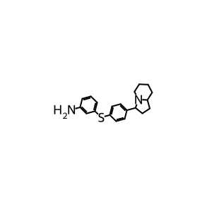 Nc1cccc(Sc2ccc(C3CCC4CCCCN43)cc2)c1